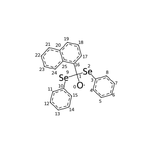 [O]C([Se]c1ccccc1)([Se]c1ccccc1)c1cccc2ccccc12